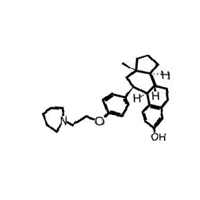 C[C@@]12CCC[C@H]1[C@@H]1CCc3cc(O)ccc3[C@H]1[C@@H](c1ccc(OCCN3CCCCC3)cc1)C2